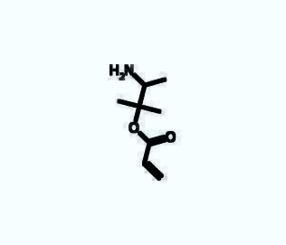 C=CC(=O)OC(C)(C)C(C)N